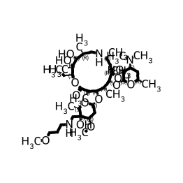 CC[C@@H]1OC(=O)[C@H](C)[C@H](O[C@H]2C[C@@H](OC)[C@](O)(CNCCCOC)[C@H](C)O2)[C@@H](C)[C@@H](O[C@@H]2O[C@H](C)C[C@H](N(C)C)[C@H]2O)[C@](C)(O)C[C@@H](C)NC[C@@H](C)[C@H](O)[C@]1(C)O